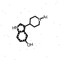 CC(=O)N1CCC(c2c[nH]c3ccc(O)cc23)CC1